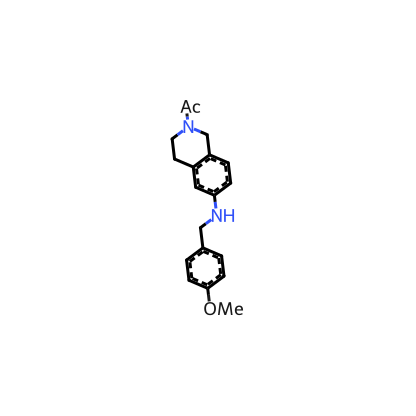 COc1ccc(CNc2ccc3c(c2)CCN(C(C)=O)C3)cc1